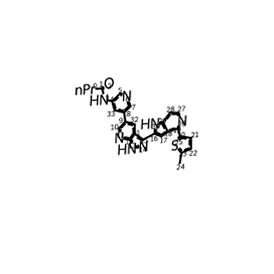 CCCC(=O)Nc1cncc(-c2cnc3[nH]nc(-c4cc5c(-c6ccc(C)s6)nccc5[nH]4)c3c2)c1